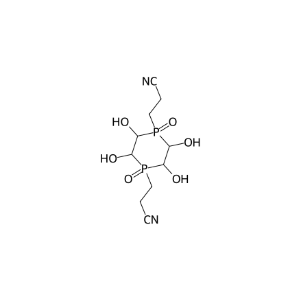 N#CCCP1(=O)C(O)C(O)P(=O)(CCC#N)C(O)C1O